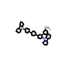 Cc1cccc(-c2cc(-c3ccc(-c4ccc(-n5c6ccccc6c6ccccc65)cc4)cc3)ccc2-n2c3ccccc3c3ccccc32)c1